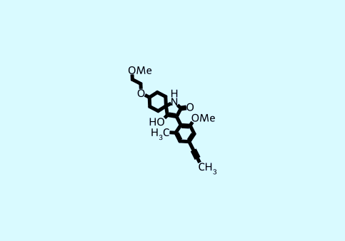 CC#Cc1cc(C)c(C2=C(O)C3(CCC(OCCOC)CC3)NC2=O)c(OC)c1